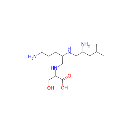 CC(C)CC(N)CNC(CCCN)CNC(CO)C(=O)O